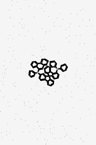 c1ccc(N(c2ccccc2)c2cccc3c2-c2ccccc2C32c3ccccc3-c3ccc(N(c4ccccc4)c4cc5ccccc5c5ccccc45)cc32)cc1